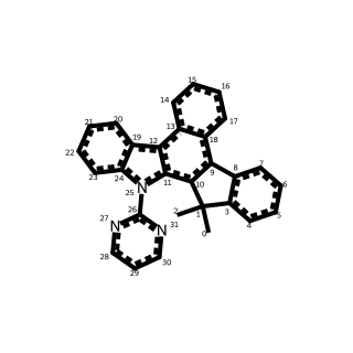 CC1(C)c2ccccc2-c2c1c1c(c3ccccc23)c2ccccc2n1-c1ncccn1